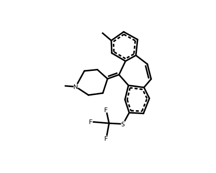 Cc1ccc2c(c1)C(=C1CCN(C)CC1)c1cc(SC(F)(F)F)ccc1C=C2